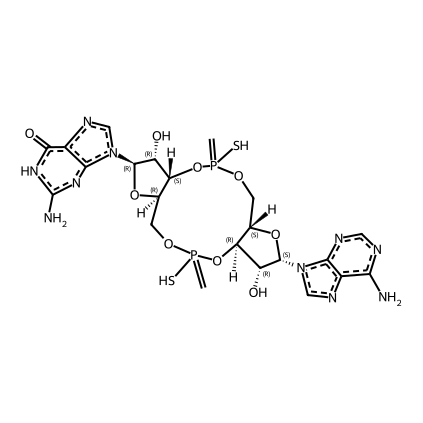 C=P1(S)OC[C@H]2O[C@@H](n3cnc4c(=O)[nH]c(N)nc43)[C@H](O)[C@@H]2OP(=C)(S)OC[C@@H]2O[C@H](n3cnc4c(N)ncnc43)[C@H](O)[C@H]2O1